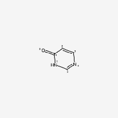 O=c1c[c]nc[nH]1